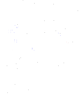 COc1ccc(-c2nc3[nH]ncc3c(-c3ccc(OCCN4CCOCC4)cc3)c2C#N)cc1